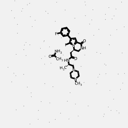 CC(N)=O.C[C@@H](CN1CCN(C)CC1)NC(=O)C[C@@H]1CNC(=O)c2cc(-c3cccc(F)c3)c(I)n21